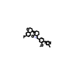 COc1cc(/C=C2\CCCN([C@@H]3CCOc4cc(F)ccc43)C2=O)ccc1-n1cnc(C)c1